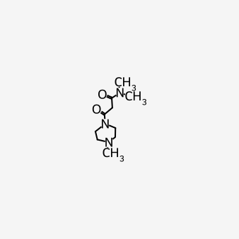 CN1CCN(C(=O)CC(=O)N(C)C)CC1